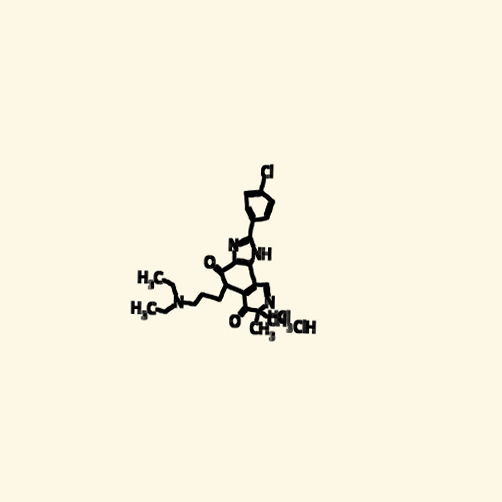 CCN(CC)CCCC1C(=O)c2nc(-c3ccc(Cl)cc3)[nH]c2C2=C1C(=O)C(C)(C)N=C2.Cl.Cl